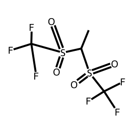 CC(S(=O)(=O)C(F)(F)F)S(=O)(=O)C(F)(F)F